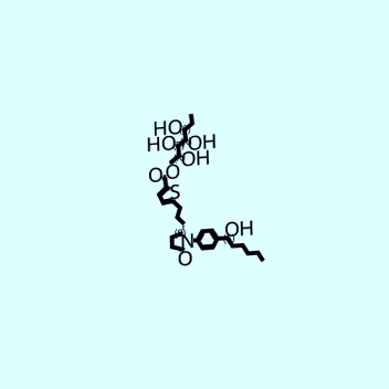 CCCCC[C@H](O)c1ccc(N2C(=O)CC[C@@H]2CCCc2ccc(C(=O)OC[C@@H](O)[C@@H](O)[C@H](O)[C@@H](O)CC)s2)cc1